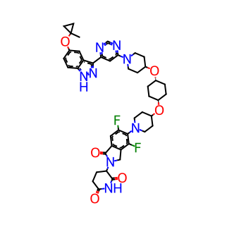 CC1(Oc2ccc3[nH]nc(-c4cc(N5CCC(O[C@H]6CC[C@H](OC7CCN(c8c(F)cc9c(c8F)CN(C8CCC(=O)NC8=O)C9=O)CC7)CC6)CC5)ncn4)c3c2)CC1